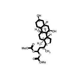 COC(=O)OC(C[C@@H](C)[C@H]1CC[C@H]2[C@@H]3[C@H](O)C[C@@H]4C[C@H](O)CC[C@]4(C)[C@H]3CC[C@]12C)OC(=O)OC